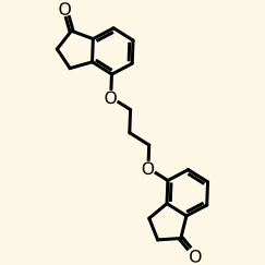 O=C1CCc2c(OCCCOc3cccc4c3CCC4=O)cccc21